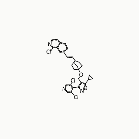 Clc1cncc(Cl)c1-c1noc(C2CC2)c1COC12CCC(/C=C/c3ccc4ccnc(Cl)c4c3)(CC1)CC2